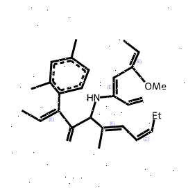 C=C/C(=C\C(=C/C)OC)NC(C(=C)/C(=C/C)c1ccc(C)cc1C)/C(C)=C/C=C\CC